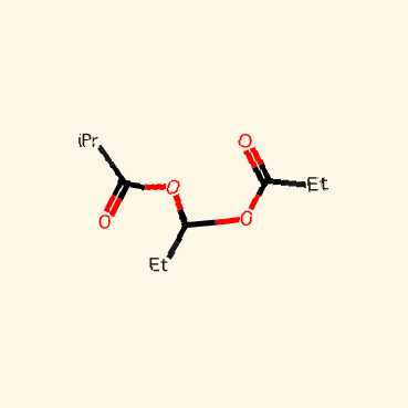 CCC(=O)OC(CC)OC(=O)C(C)C